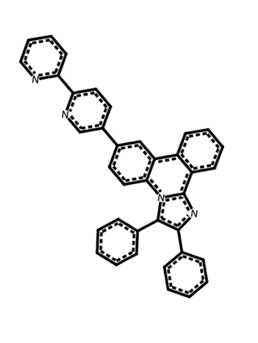 c1ccc(-c2nc3c4ccccc4c4cc(-c5ccc(-c6ccccn6)nc5)ccc4n3c2-c2ccccc2)cc1